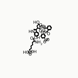 NC(CCCCCP(=O)(O)O)C(=O)O.O=C(O)CC(C(=O)O)c1c[nH]c2ccccc12.O=C(O)c1ccccc1C(=O)Nc1cccc([N+](=O)[O-])c1